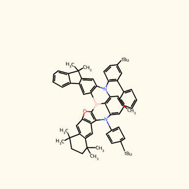 Cc1cc2c3c(c1)N(c1ccc(C(C)(C)C)cc1)c1c(oc4cc5c(cc14)C(C)(C)CCC5(C)C)B3c1cc3c(cc1N2c1ccc(C(C)(C)C)cc1-c1ccccc1)C(C)(C)c1ccccc1-3